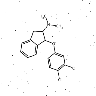 CN(C)C1Cc2ccccc2C1Oc1ccc(Cl)c(Cl)c1